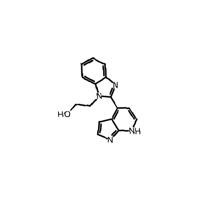 OCCn1c(-c2cc[nH]c3nccc2-3)nc2ccccc21